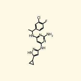 CC(Nc1cc(Nc2cc(C3CC3)[nH]n2)nc(N)n1)c1ccc(F)c(Cl)c1